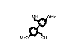 COc1ccc(-c2ccc(OC)cc2CO)c(CO)c1